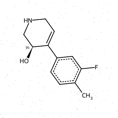 Cc1ccc(C2=CCNC[C@@H]2O)cc1F